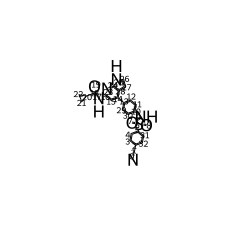 N#Cc1ccc(S(=O)(=O)Nc2ccc(-c3cc(NC(=O)C4CC4)nc4[nH]ccc34)cc2)cc1